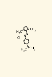 CN(C)c1ccc(N=Nc2n(C)cc[n+]2C)cc1.[Cl-]